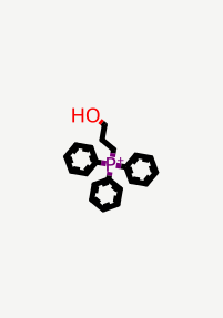 OCCC[P+](c1ccccc1)(c1ccccc1)c1ccccc1